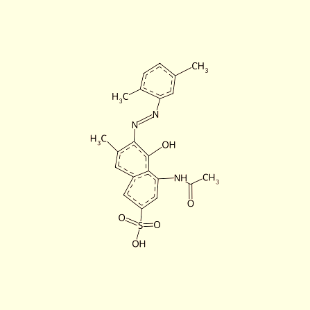 CC(=O)Nc1cc(S(=O)(=O)O)cc2cc(C)c(N=Nc3cc(C)ccc3C)c(O)c12